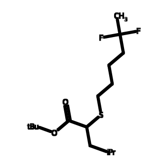 CC(C)CC(SCCCCC(C)(F)F)C(=O)OC(C)(C)C